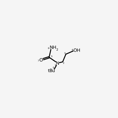 CC(C)(C)N(CCO)C(N)=O